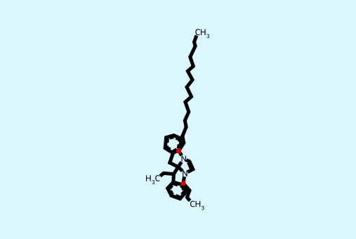 CCCCCCCCCCCCCCCCN1C=CN(CCCC)C1(Cc1ccccc1)C(CC)c1ccccc1